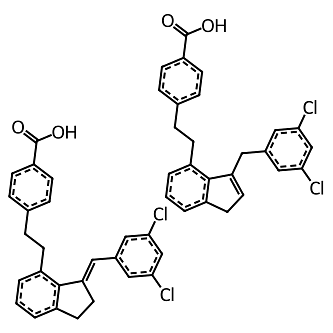 O=C(O)c1ccc(CCc2cccc3c2C(=Cc2cc(Cl)cc(Cl)c2)CC3)cc1.O=C(O)c1ccc(CCc2cccc3c2C(Cc2cc(Cl)cc(Cl)c2)=CC3)cc1